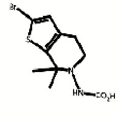 CC1(C)c2sc(Br)cc2CCN1NC(=O)O